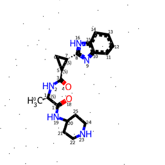 C[C@H](NC(=O)[C@H]1C[C@@H]1c1nc2ccccc2[nH]1)C(=O)NC1CCNCC1